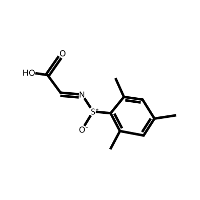 Cc1cc(C)c([S+]([O-])N=CC(=O)O)c(C)c1